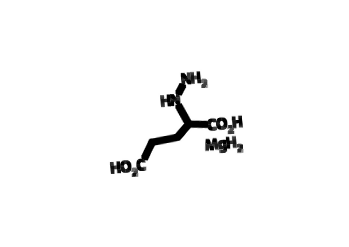 NNC(CCC(=O)O)C(=O)O.[MgH2]